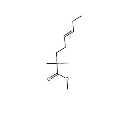 CC/C=C/CCC(C)(C)C(=O)OC